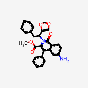 COC(=O)c1c(-c2ccccc2)c2cc(N)ccc2c(=O)n1C(Cc1ccccc1)C1=COCO1